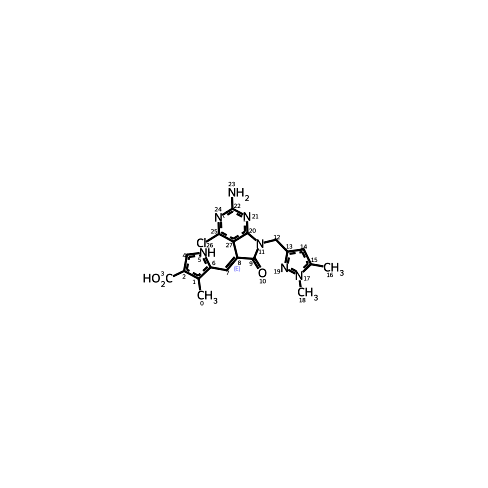 Cc1c(C(=O)O)c[nH]c1/C=C1/C(=O)N(Cc2cc(C)n(C)n2)c2nc(N)nc(Cl)c21